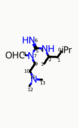 CC(C)CC(C)NC(=N)N(C=O)CCN(C)C